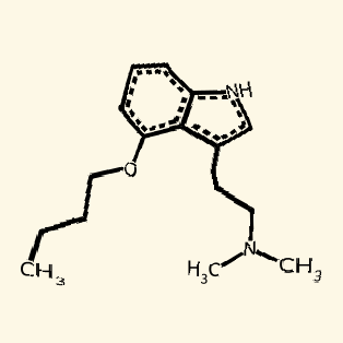 CCCCOc1cccc2[nH]cc(CCN(C)C)c12